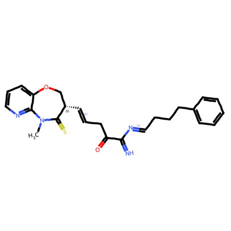 CN1C(=S)[C@@H](/C=C/CC(=O)C(=N)/N=C/CCCc2ccccc2)COc2cccnc21